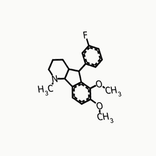 COc1ccc2c(c1OC)C(c1cccc(F)c1)C1CCCN(C)C21